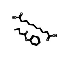 CCCC(=O)Oc1ccccc1.O=C(O)CCCCCCCCC(=O)O